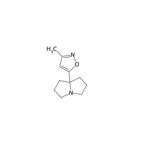 Cc1cc(C23CCCN2CCC3)on1